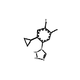 Cc1cc(N2C=NNN2)c(C2CC2)cc1F